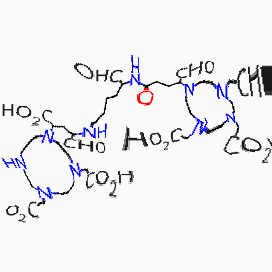 O=CCN1CCN(CC(=O)O)CCN(CC(=O)O)CCN(C(C=O)CCC(=O)N[C@H](C=O)CCCCNC(C=O)CC(C(=O)O)N2CCNCCN(CC(=O)O)CCN(CC(=O)O)CC2)CC1